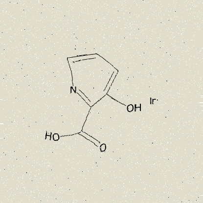 O=C(O)c1ncccc1O.[Ir]